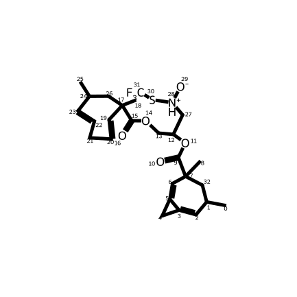 CC1C=C2CC2=CC(C)(C(=O)OC(COC(=O)C2(C)/C=C/C/C=C/C(C)C2)C[NH+]([O-])SC(F)(F)F)C1